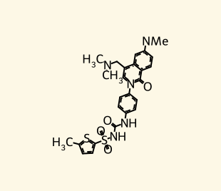 CNc1ccc2c(=O)n(-c3ccc(NC(=O)NS(=O)(=O)c4ccc(C)s4)cc3)cc(CN(C)C)c2c1